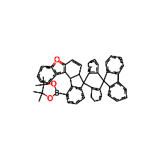 CC1(C)OB(c2cccc3c2C2c4c(oc5ccccc45)C=CC2C32C3=C(C=CCC3)C3(c4ccccc4-c4ccccc43)c3ccccc32)OC1(C)C